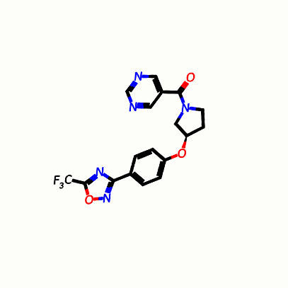 O=C(c1cncnc1)N1CC[C@@H](Oc2ccc(-c3noc(C(F)(F)F)n3)cc2)C1